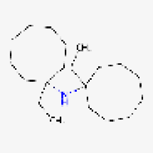 CCC1(NC2(CC)CCCCCCC2)CCCCCCC1